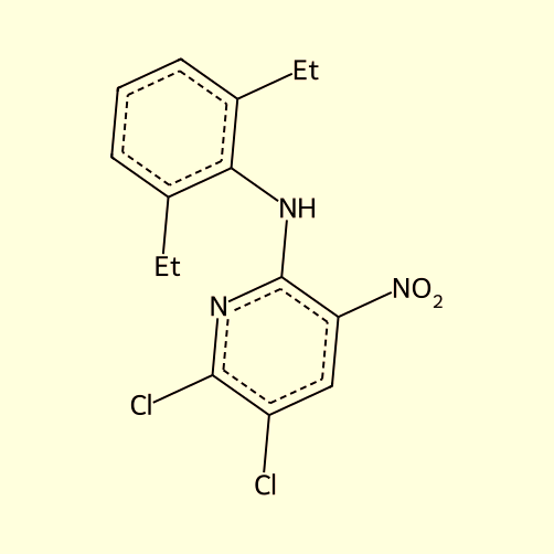 CCc1cccc(CC)c1Nc1nc(Cl)c(Cl)cc1[N+](=O)[O-]